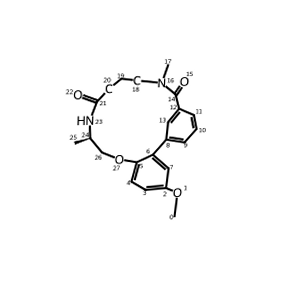 COc1ccc2c(c1)-c1cccc(c1)C(=O)N(C)CCCC(=O)N[C@H](C)CO2